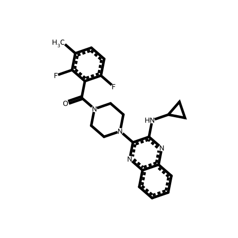 Cc1ccc(F)c(C(=O)N2CCN(c3nc4ccccc4nc3NC3CC3)CC2)c1F